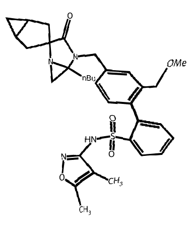 CCCCC12CN1C1(CC3CC3C1)C(=O)N2Cc1ccc(-c2ccccc2S(=O)(=O)Nc2noc(C)c2C)c(COC)c1